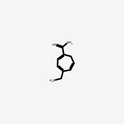 N=C(N)C1=CC=C(CN)C=CC1